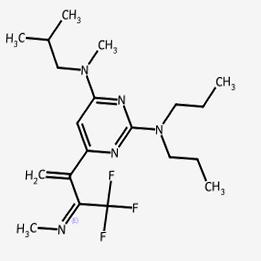 C=C(/C(=N\C)C(F)(F)F)c1cc(N(C)CC(C)C)nc(N(CCC)CCC)n1